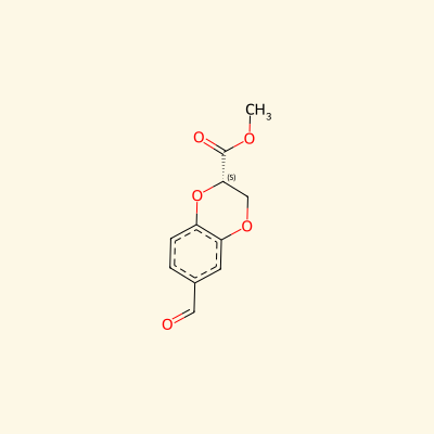 COC(=O)[C@@H]1COc2cc(C=O)ccc2O1